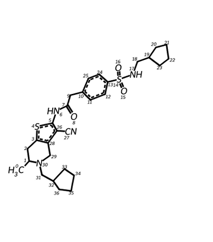 CC1Cc2sc(NC(=O)Cc3ccc(S(=O)(=O)NCC4CCCC4)cc3)c(C#N)c2CN1CC1CCCC1